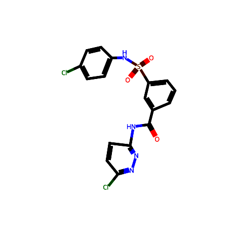 O=C(Nc1ccc(Cl)nn1)c1cccc(S(=O)(=O)Nc2ccc(Cl)cc2)c1